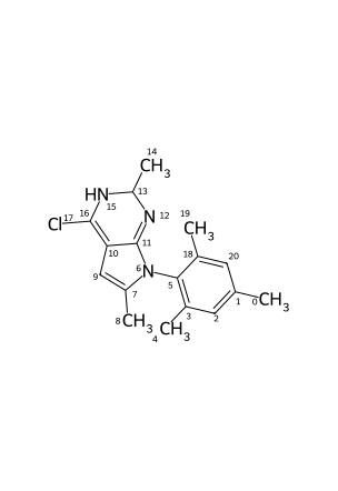 Cc1cc(C)c(-n2c(C)cc3c2=NC(C)NC=3Cl)c(C)c1